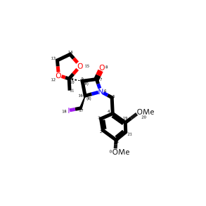 COc1ccc(CN2C(=O)[C@@H](C3(C)OCCO3)[C@@H]2CI)c(OC)c1